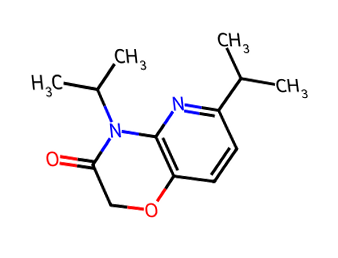 CC(C)c1ccc2c(n1)N(C(C)C)C(=O)CO2